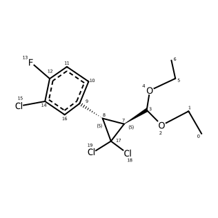 CCOC(OCC)[C@@H]1[C@@H](c2ccc(F)c(Cl)c2)C1(Cl)Cl